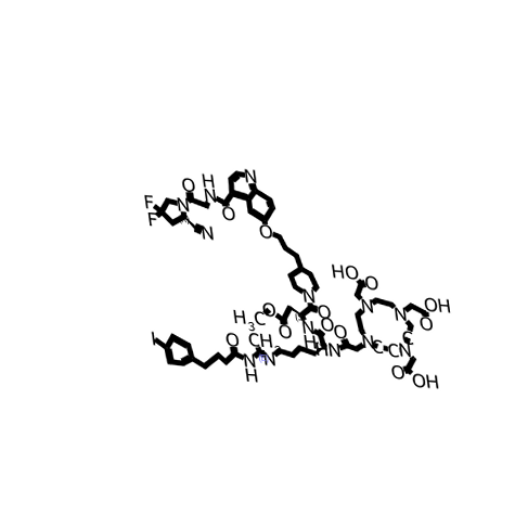 COC(=O)C[C@H](NC(=O)[C@H](CCCC/N=C(\C)NC(=O)CCCc1ccc(I)cc1)NC(=O)CN1CCN(CC(=O)O)CCN(CC(=O)O)CCN(CC(=O)O)CC1)C(=O)N1CCC(CCCOc2ccc3nccc(C(=O)NCC(=O)N4CC(F)(F)C[C@@H]4C#N)c3c2)CC1